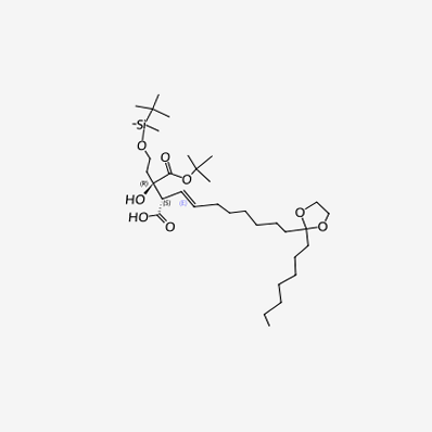 CCCCCCCC1(CCCCCC/C=C/[C@H](C(=O)O)[C@](O)(CCO[Si](C)(C)C(C)(C)C)C(=O)OC(C)(C)C)OCCO1